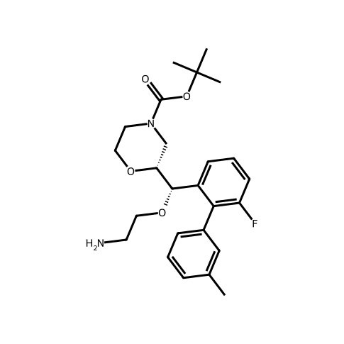 Cc1cccc(-c2c(F)cccc2[C@H](OCCN)[C@H]2CN(C(=O)OC(C)(C)C)CCO2)c1